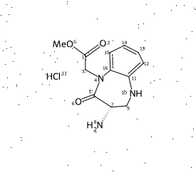 COC(=O)CN1C(=O)[C@@H](N)CNc2ccccc21.Cl